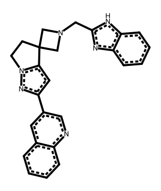 c1ccc2ncc(-c3cc4n(n3)CCC43CN(Cc4nc5ccccc5[nH]4)C3)cc2c1